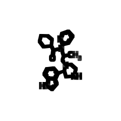 CC(CN1CCNC[C@H]1c1cccc2[nH]ccc12)N(C(=O)C1CCCCC1)c1ccccn1